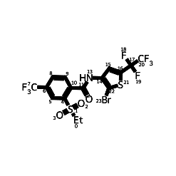 CCS(=O)(=O)c1cc(C(F)(F)F)ccc1C(=O)Nc1cc(C(F)(F)C(F)(F)F)sc1Br